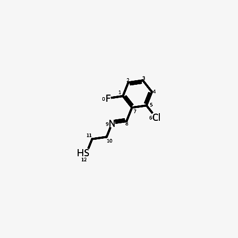 Fc1cccc(Cl)c1/C=N/CCS